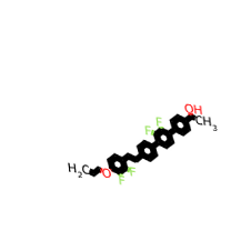 C=CCOc1ccc(/C=C/c2ccc(-c3ccc(-c4ccc(C(C)O)cc4)c(F)c3F)cc2)c(F)c1F